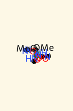 COc1cc(Nc2ncc(C(=O)Nc3c(C)cccc3C)c(Oc3ccc(CC(=O)N4CCCC4)cc3Cl)n2)cc(OCCCN2CCN(C)CC2)c1OC